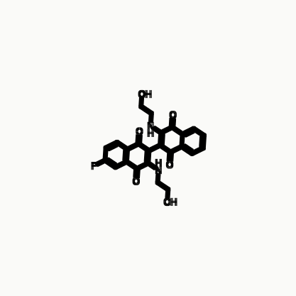 O=C1C(NCCO)=C(C2=C(NCCO)C(=O)c3cc(F)ccc3C2=O)C(=O)c2ccccc21